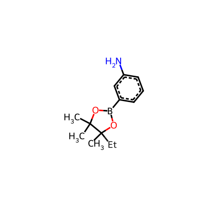 CCC1(C)OB(c2cccc(N)c2)OC1(C)C